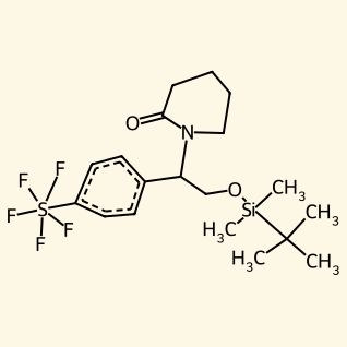 CC(C)(C)[Si](C)(C)OCC(c1ccc(S(F)(F)(F)(F)F)cc1)N1CCCCC1=O